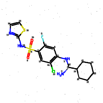 N[C@H](Nc1cc(F)c(S(=O)(=O)Nc2nccs2)cc1Cl)C1CCCCC1